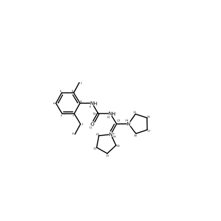 CCc1cccc(C)c1NC(=O)NC(N1CCCC1)=[N+]1CCCC1